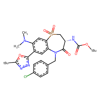 CN(C)c1cc2c(cc1-c1nnc(C(C)(C)C)o1)N(Cc1ccc(Cl)cc1)C(=O)[C@@H](NC(=O)OC(C)(C)C)CS2(=O)=O